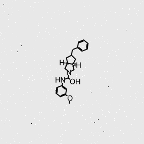 COc1cccc(NC(O)N2C[C@H]3CC(Cc4ccccc4)C[C@H]3C2)c1